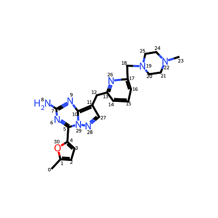 Cc1ccc(-c2nc(N)nc3c(Cc4cccc(CN5CCN(C)CC5)n4)cnn23)o1